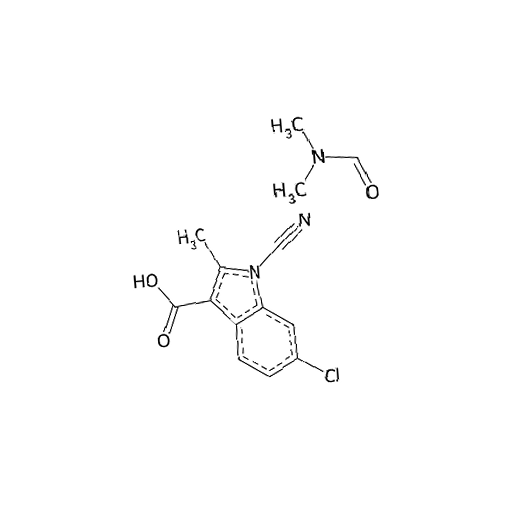 CN(C)C=O.Cc1c(C(=O)O)c2ccc(Cl)cc2n1C#N